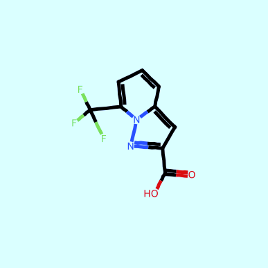 O=C(O)c1cc2cccc(C(F)(F)F)n2n1